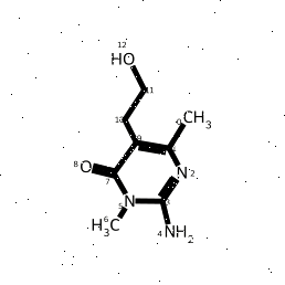 Cc1nc(N)n(C)c(=O)c1CCO